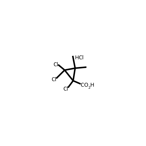 CC1(C)C(Cl)(Cl)C1(Cl)C(=O)O.Cl